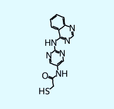 O=C(CS)Nc1cnc(Nc2ncnc3ccccc23)nc1